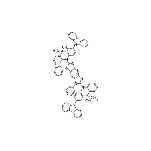 CC1(C)c2ccccc2N(c2nc3nc4nc(N5c6ccccc6C(C)(C)c6cc(-n7c8ccccc8c8ccccc87)ccc65)n(-c5ccccc5)c4cc3n2-c2ccccc2)c2ccc(-n3c4ccccc4c4ccccc43)cc21